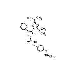 CNSc1ccc(CNC(=O)N2CC(c3ccccc3)C(c3cn(C(C)C)nc3C(C)(C)C)C2)cc1